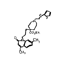 CCOC(=O)C1(CCCn2c(=O)cc(C)c3ccc(C)cc32)CCN(CCSc2cccs2)CC1